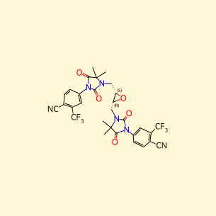 CC1(C)C(=O)N(c2ccc(C#N)c(C(F)(F)F)c2)C(=O)N1C[C@@H]1O[C@@H]1CN1C(=O)N(c2ccc(C#N)c(C(F)(F)F)c2)C(=O)C1(C)C